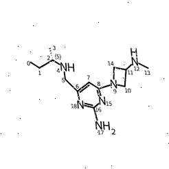 CC[C@H](C)NCc1cc(N2CC(NC)C2)nc(N)n1